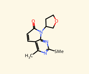 CSc1nc(C)c2ccc(=O)n(C3CCOC3)c2n1